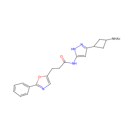 CC(=O)NC1CC(c2cc(NC(=O)CCc3cnc(-c4ccccc4)o3)[nH]n2)C1